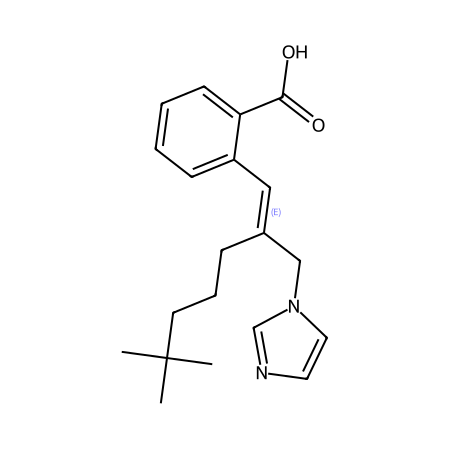 CC(C)(C)CCC/C(=C\c1ccccc1C(=O)O)Cn1ccnc1